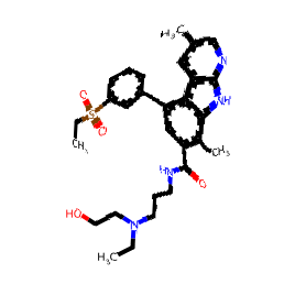 CCN(CCO)CCCNC(=O)c1cc(-c2cccc(S(=O)(=O)CC)c2)c2c([nH]c3ncc(C)cc32)c1C